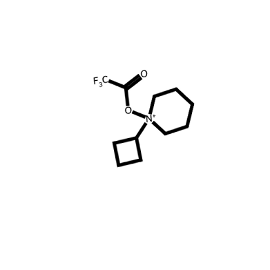 O=C(O[N+]1(C2CCC2)CCCCC1)C(F)(F)F